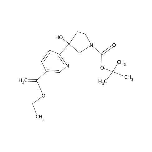 C=C(OCC)c1ccc(C2(O)CCN(C(=O)OC(C)(C)C)C2)nc1